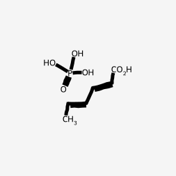 C/C=C/C=C/C(=O)O.O=P(O)(O)O